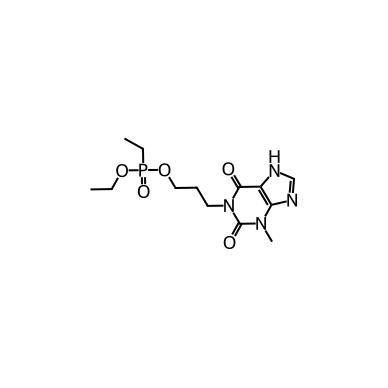 CCOP(=O)(CC)OCCCn1c(=O)c2[nH]cnc2n(C)c1=O